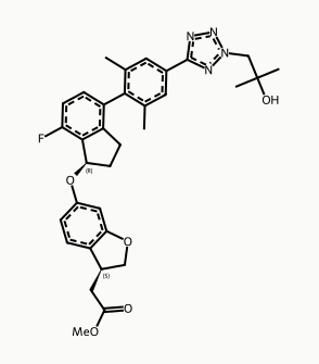 COC(=O)C[C@@H]1COc2cc(O[C@@H]3CCc4c(-c5c(C)cc(-c6nnn(CC(C)(C)O)n6)cc5C)ccc(F)c43)ccc21